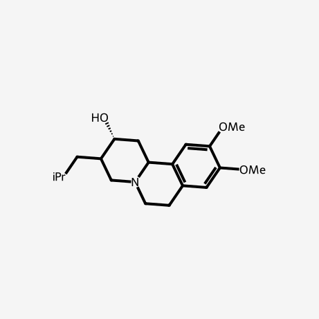 COc1cc2c(cc1OC)C1C[C@@H](O)C(CC(C)C)CN1CC2